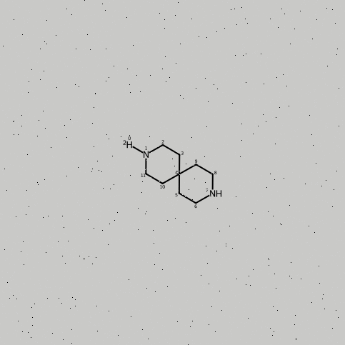 [2H]N1CCC2(CCNCC2)CC1